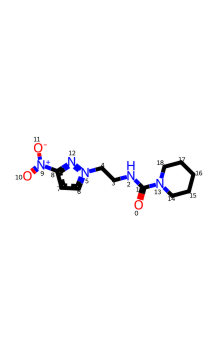 O=C(NCCn1ccc([N+](=O)[O-])n1)N1CCCCC1